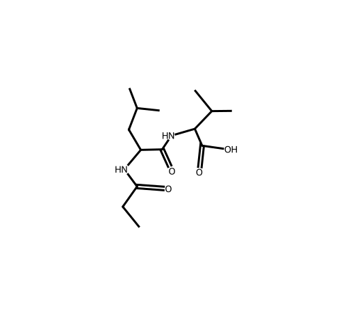 CCC(=O)NC(CC(C)C)C(=O)NC(C(=O)O)C(C)C